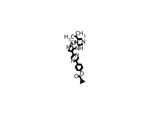 CC(C)c1cncc(Nc2c(-c3cnc(-c4ccc(OC(=O)C5CC5)cc4)cn3)cnn2C)n1